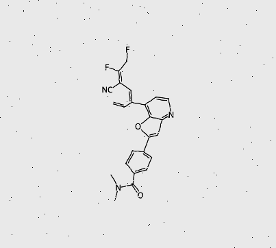 C=C/C(=C\C(C#N)=C(\F)CF)c1ccnc2cc(-c3ccc(C(=O)N(C)C)cc3)oc12